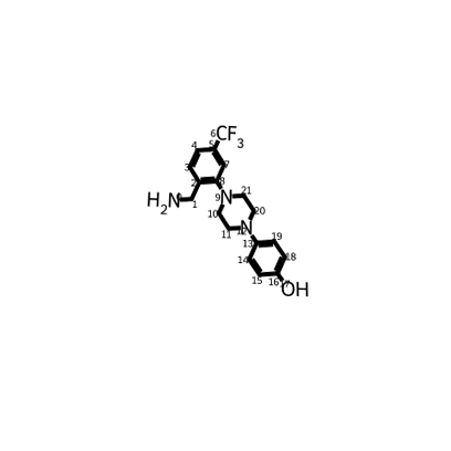 NCc1ccc(C(F)(F)F)cc1N1CCN(c2ccc(O)cc2)CC1